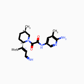 CN/C(=C\C=N)[C@@H]1CC[C@@H](C)CN1C(=O)C(=O)Nc1cnc(N)c(C)c1